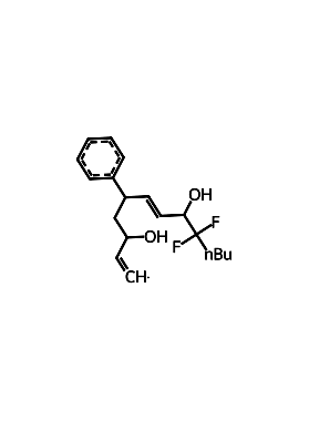 [CH]=CC(O)CC(/C=C/C(O)C(F)(F)CCCC)c1ccccc1